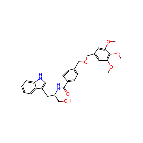 COc1cc(COCc2ccc(C(=O)N[C@@H](CO)Cc3c[nH]c4ccccc34)cc2)cc(OC)c1OC